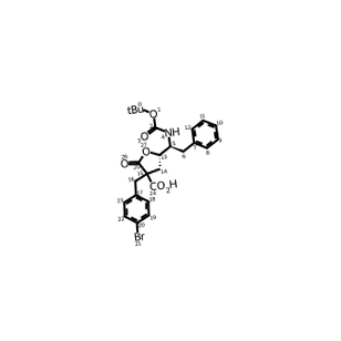 CC(C)(C)OC(=O)N[C@@H](Cc1ccccc1)[C@@H]1CC(Cc2ccc(Br)cc2)(C(=O)O)C(=O)O1